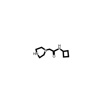 O=C(CN1CCNCC1)NC1CCC1